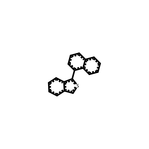 c1ccc2c(-c3scc4ccccc34)cccc2c1